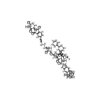 CC(C)(C)[C@H](NC(=O)c1cc2cc(C(F)(F)P(=O)(O)O)ccc2s1)C(=O)N1C[C@@H](OCC(=O)NCCCC#Cc2ccc3c(c2)C(=O)N(C2CCC(=O)NC2=O)C3=O)C[C@H]1C(=O)N1CCC[C@H](c2ccccc2)C1